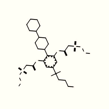 CCCCC(C)(C)c1cc(OC(=O)CS(=O)(=O)OOC)c(C2CCC(C3CCCCC3)CC2)c(OC(=O)CS(=O)(=O)OOC)c1